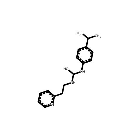 CC(C)c1ccc(NC(O)NCCc2ccccn2)cc1